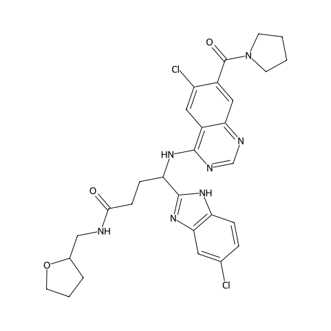 O=C(CCC(Nc1ncnc2cc(C(=O)N3CCCC3)c(Cl)cc12)c1nc2cc(Cl)ccc2[nH]1)NCC1CCCO1